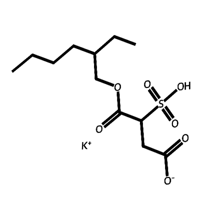 CCCCC(CC)COC(=O)C(CC(=O)[O-])S(=O)(=O)O.[K+]